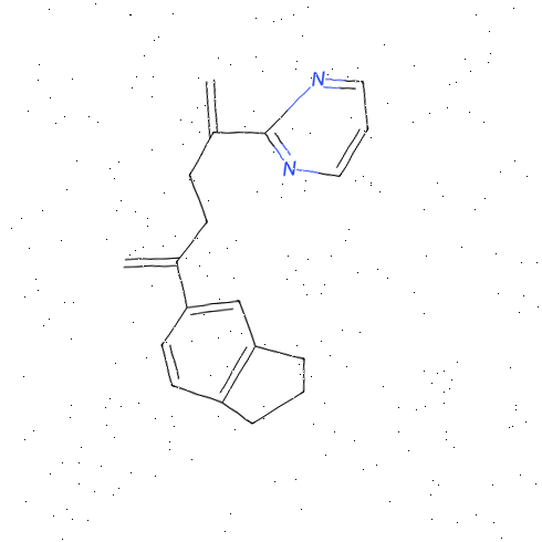 C=C(CCC(=C)c1ncccn1)c1ccc2c(c1)CCC2